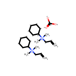 C=CC[N+](C)(C)C1CCCCC1.C=CC[N+](C)(C)C1CCCCC1.O=C([O-])[O-]